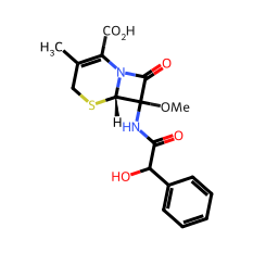 COC1(NC(=O)C(O)c2ccccc2)C(=O)N2C(C(=O)O)=C(C)CS[C@H]21